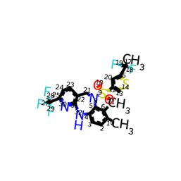 Cc1ccc2c(c1C)N(S(=O)(=O)c1csc(C(C)(F)F)c1)Cc1ccc(C(F)(F)F)nc1N2